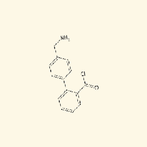 NCc1ccc(-c2ccccc2C(=O)Cl)cc1